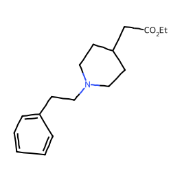 CCOC(=O)CC1CCN(CCc2ccccc2)CC1